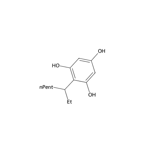 CCCCCC(CC)c1c(O)cc(O)cc1O